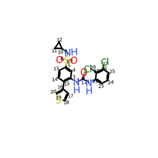 O=C(Nc1cc(S(=O)(=O)NC2CC2)ccc1-c1ccsc1)Nc1cccc(Cl)c1Cl